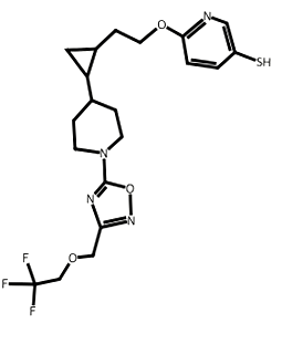 FC(F)(F)COCc1noc(N2CCC(C3CC3CCOc3ccc(S)cn3)CC2)n1